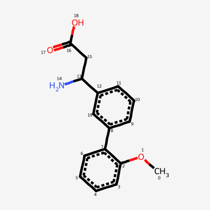 COc1ccccc1-c1cccc(C(N)CC(=O)O)c1